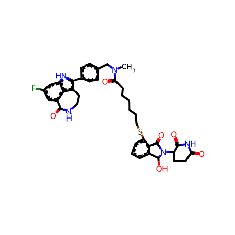 CN(Cc1ccc(-c2[nH]c3cc(F)cc4c3c2CCNC4=O)cc1)C(=O)CCCCCCSc1cccc2c1C(=O)N(C1CCC(=O)NC1=O)C2O